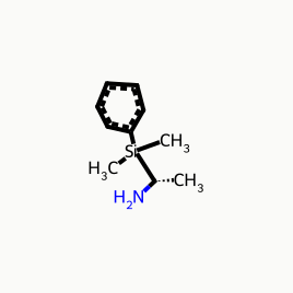 C[C@H](N)[Si](C)(C)c1ccccc1